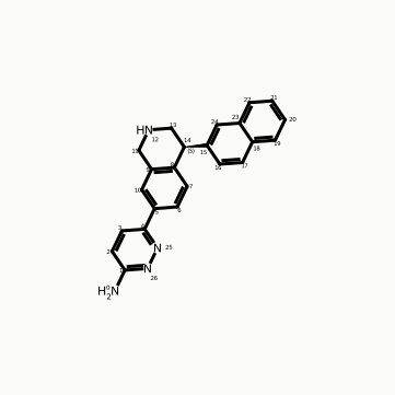 Nc1ccc(-c2ccc3c(c2)CNC[C@H]3c2ccc3ccccc3c2)nn1